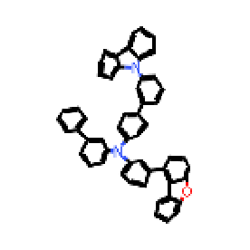 c1ccc(-c2cccc(N(c3ccc(-c4cccc(-n5c6ccccc6c6ccccc65)c4)cc3)c3cccc(-c4cccc5oc6ccccc6c45)c3)c2)cc1